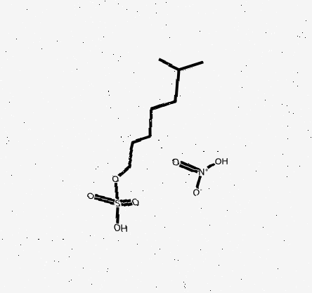 CC(C)CCCCCOS(=O)(=O)O.O=[N+]([O-])O